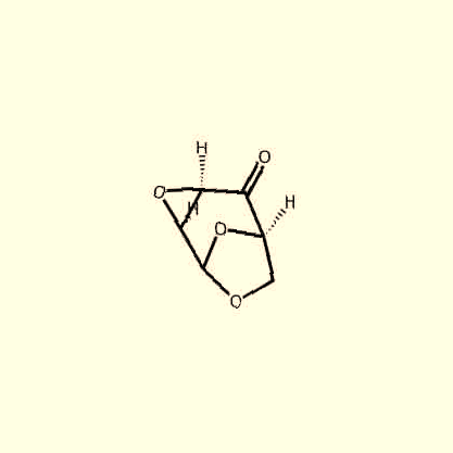 O=C1[C@H]2COC(O2)[C@H]2O[C@@H]12